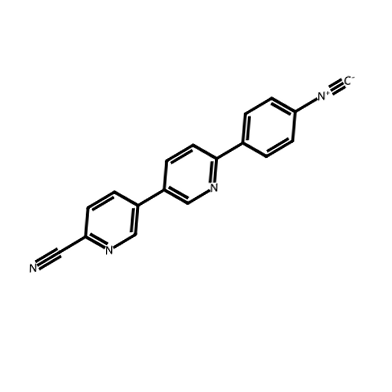 [C-]#[N+]c1ccc(-c2ccc(-c3ccc(C#N)nc3)cn2)cc1